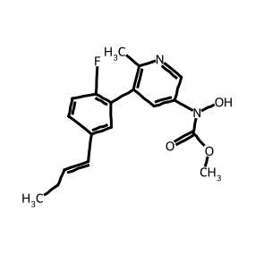 CC/C=C/c1ccc(F)c(-c2cc(N(O)C(=O)OC)cnc2C)c1